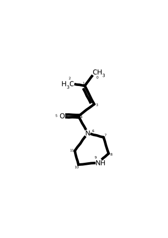 CC(C)=CC(=O)N1CCNCC1